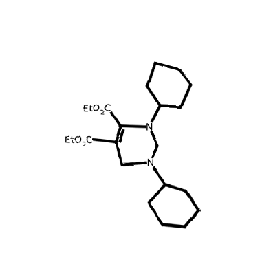 CCOC(=O)C1=C(C(=O)OCC)N(C2CCCCC2)CN(C2CCCCC2)C1